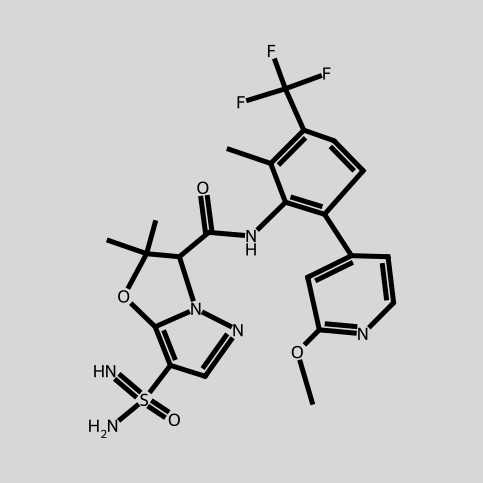 COc1cc(-c2ccc(C(F)(F)F)c(C)c2NC(=O)C2n3ncc(S(=N)(N)=O)c3OC2(C)C)ccn1